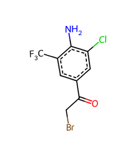 Nc1c(Cl)cc(C(=O)CBr)cc1C(F)(F)F